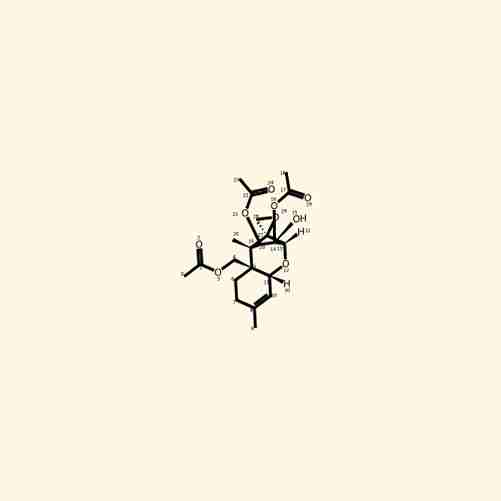 CC(=O)OC[C@]12CCC(C)=C[C@H]1O[C@@H]1[C@@](O)(OC(C)=O)C(OC(C)=O)[C@@]2(C)[C@]12CO2